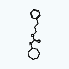 O=C([N]C1CCCCCC1)OCCCc1ccccc1